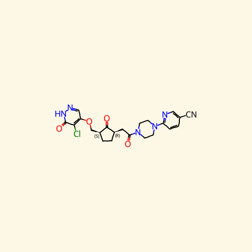 N#Cc1ccc(N2CCN(C(=O)C[C@H]3CC[C@@H](COc4cn[nH]c(=O)c4Cl)C3=O)CC2)nc1